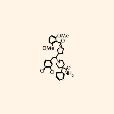 COc1cccc(OC)c1C(=O)N1CCC(C(Cc2ccc(Cl)c(Cl)c2)N2CCC(C(N)=O)(c3ccccc3)CC2)C1